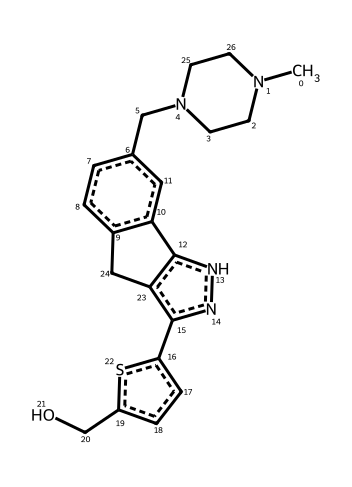 CN1CCN(Cc2ccc3c(c2)-c2[nH]nc(-c4ccc(CO)s4)c2C3)CC1